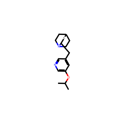 CC(C)Oc1cncc(CC2CC3CCN2CC3)c1